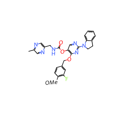 COc1ccc(COc2nc(N3CCc4ccccc43)ncc2OC(=O)NCc2cnc(C)cn2)cc1F